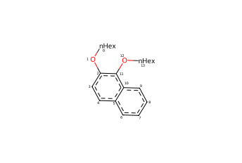 CCCCCCOc1ccc2ccccc2c1OCCCCCC